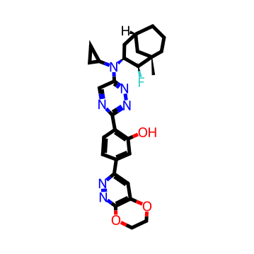 C[C@@]12CCC[C@@H](C[C@H](N(c3cnc(-c4ccc(-c5cc6c(nn5)OCCO6)cc4O)nn3)C3CC3)[C@@H]1F)C2